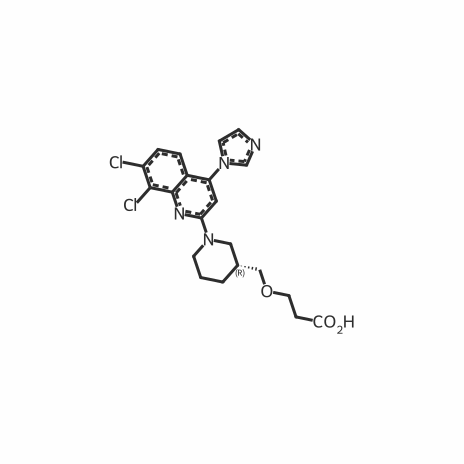 O=C(O)CCOC[C@@H]1CCCN(c2cc(-n3ccnc3)c3ccc(Cl)c(Cl)c3n2)C1